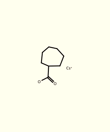 O=C([O-])C1CCCCCC1.[Cs+]